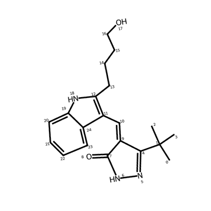 CC(C)(C)C1=NNC(=O)C1=Cc1c(CCCCO)[nH]c2ccccc12